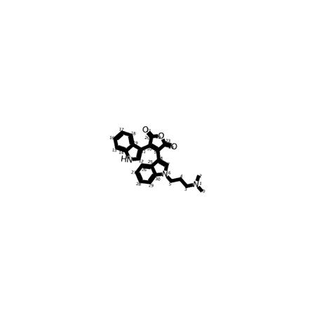 CN(C)CCCn1cc(C2=C(c3c[nH]c4ccccc34)C(=O)OC2=O)c2ccccc21